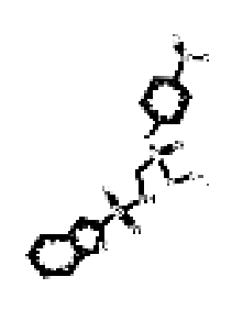 NOP(=O)(CNS(=O)(=O)c1cc2ccccc2s1)Oc1ccc([N+](=O)[O-])cc1